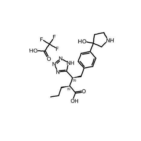 CCC[C@H](C(=O)O)[C@H](Cc1ccc(C2(O)CCNC2)cc1)c1nnn[nH]1.O=C(O)C(F)(F)F